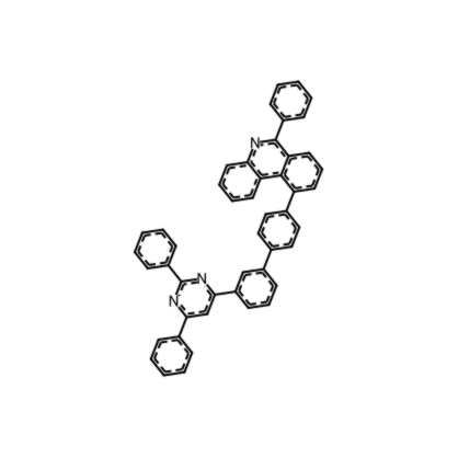 c1ccc(-c2cc(-c3cccc(-c4ccc(-c5cccc6c(-c7ccccc7)nc7ccccc7c56)cc4)c3)nc(-c3ccccc3)n2)cc1